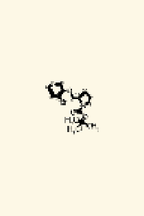 CC(C)(C)OC(=O)N1CCCC1COc1cnccc1Br